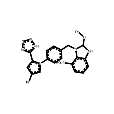 CCOC1Nc2cccc(C(=O)O)c2N1Cc1ccc(-n2cc(Br)cc2-c2nnn[nH]2)cc1